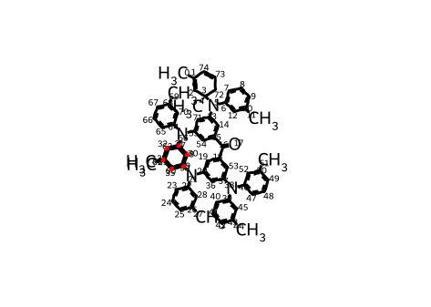 CC1=C[C@](C)(N(c2cccc(C)c2)c2cc(C(=O)c3cc(N(c4cccc(C)c4)c4cccc(C)c4)cc(N(c4cccc(C)c4)c4cccc(C)c4)c3)cc(N(c3cccc(C)c3)c3cccc(C)c3)c2)CC=C1